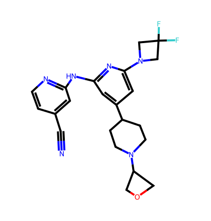 N#Cc1ccnc(Nc2cc(C3CCN(C4COC4)CC3)cc(N3CC(F)(F)C3)n2)c1